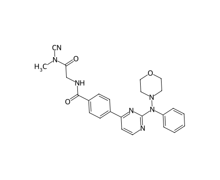 CN(C#N)C(=O)CNC(=O)c1ccc(-c2ccnc(N(c3ccccc3)N3CCOCC3)n2)cc1